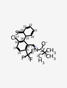 CC(C)(C)[S+]([O-])/N=C/c1c(C(F)(F)F)ccc(Cl)c1C1C=CC=CC1=S